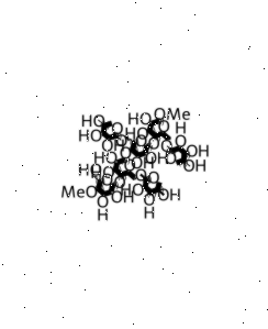 CO[C@@H]1OC(CO[C@H]2OC[C@@H](O)[C@@H](O)C2O)[C@@H](O[C@@H]2O[C@@H](CO[C@H]3OC[C@@H](O)C(O)C3O)[C@@H](O[C@@H]3OC(CO[C@H]4OC[C@@H](O)[C@@H](O)C4O)[C@@H](O[C@@H]4O[C@@H](CO)[C@@H](OC)C(O)C4O)[C@H](O)C3O)C(O)C2O)[C@H](O)C1O